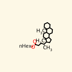 CCCCCCOC(=O)CC[C@@H](C)C1CCC2C3CCC4CCCCC4(C)C3CCC21C